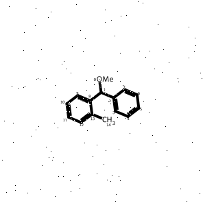 COC(c1ccccc1)c1ccccc1C